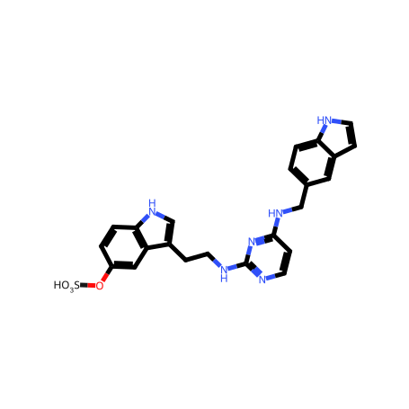 O=S(=O)(O)Oc1ccc2[nH]cc(CCNc3nccc(NCc4ccc5[nH]ccc5c4)n3)c2c1